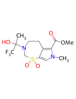 COC(=O)c1c2c(cn1C)S(=O)(=O)CN(C(C)(O)C(F)(F)F)CC2